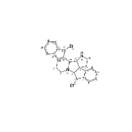 CCN1c2ccccc2C23CCNC2C2c4c(c5ccccc5n4CC)CCN2C13